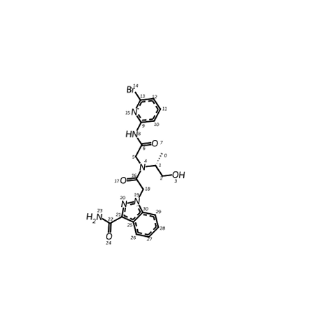 C[C@H](CO)N(CC(=O)Nc1cccc(Br)n1)C(=O)Cn1nc(C(N)=O)c2ccccc21